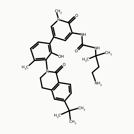 Cc1ccc(-c2cc(NC(=O)NC(C)(C)CCN)c(=O)n(C)c2)c(O)c1N1CCc2cc(C(C)(C)C)ccc2C1=O